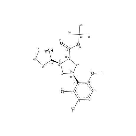 COc1ccc(Cl)c(Cl)c1[C@H]1C[C@@H]([C]2CCCN2)N(C(=O)OC(C)(C)C)C1